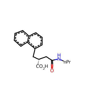 CCCNC(=O)C[C@@H](Cc1cccc2ccccc12)C(=O)O